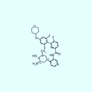 C[C@H]1C[C@@H](c2ccncc2NC(=O)c2ccc(F)c(-c3c(F)cc(OC4CCOCC4)cc3F)n2)C[C@@H](N)[C@@H]1O